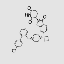 O=C1CCC(N2Cc3cc(C4(N5CCN(Cc6ccccc6-c6ccc(Cl)cc6)CC5)CCC4)ccc3C2=O)C(=O)N1